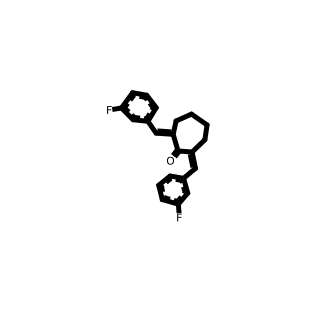 O=C1/C(=C\c2cccc(F)c2)CCCC/C1=C\c1cccc(F)c1